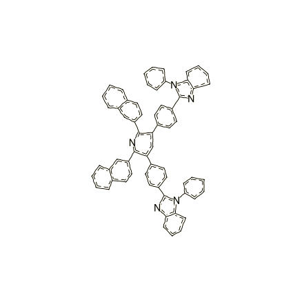 c1ccc(-n2c(-c3ccc(-c4cc(-c5ccc(-c6nc7ccccc7n6-c6ccccc6)cc5)c(-c5ccc6ccccc6c5)nc4-c4ccc5ccccc5c4)cc3)nc3ccccc32)cc1